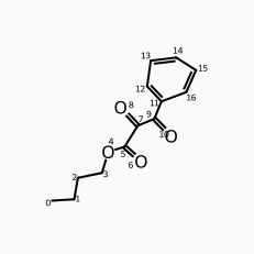 CCCCOC(=O)C(=O)C(=O)c1ccccc1